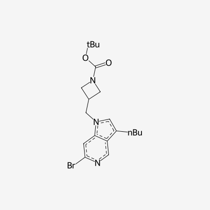 CCCCc1cn(CC2CN(C(=O)OC(C)(C)C)C2)c2cc(Br)ncc12